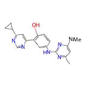 CNc1cc(C)nc(Nc2ccc(O)c(-c3cc(C4CC4)ncn3)c2)n1